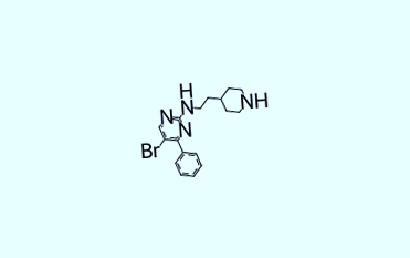 Brc1cnc(NCCC2CCNCC2)nc1-c1ccccc1